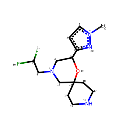 CCn1ccc(C2CN(CC(F)F)CC3(CCNCC3)O2)n1